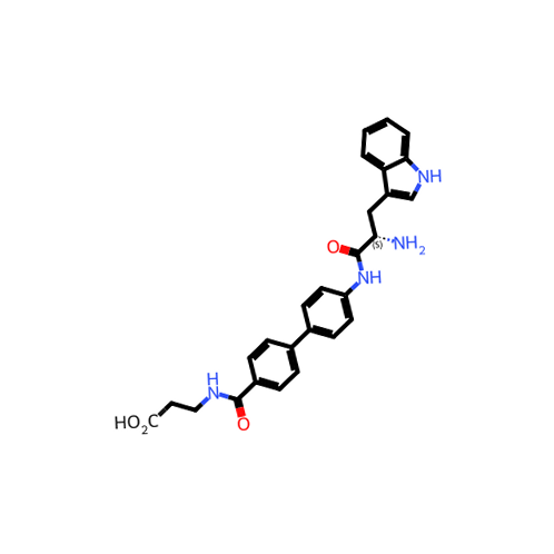 N[C@@H](Cc1c[nH]c2ccccc12)C(=O)Nc1ccc(-c2ccc(C(=O)NCCC(=O)O)cc2)cc1